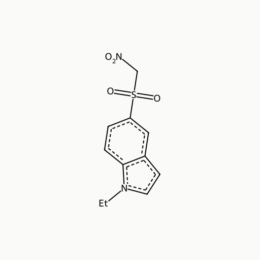 CCn1ccc2cc(S(=O)(=O)C[N+](=O)[O-])ccc21